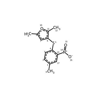 Cc1ccc(Sc2cc(C)oc2C)c([N+](=O)[O-])c1